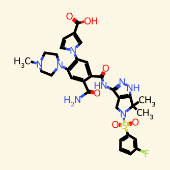 CN1CCN(c2cc(C(N)=O)c(C(=O)Nc3n[nH]c4c3CN(S(=O)(=O)c3cccc(F)c3)C4(C)C)cc2-n2ccc(C(=O)O)c2)CC1